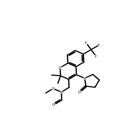 CON(C=O)CC1=C(N2CCCC2=O)c2cc(C(F)(F)F)ccc2OC1(C)C